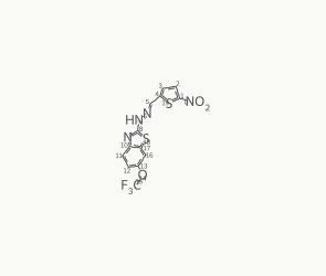 O=[N+]([O-])c1ccc(C=NNc2nc3ccc(OC(F)(F)F)cc3s2)s1